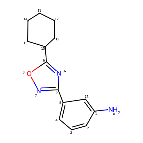 Nc1cccc(-c2noc(C3CCCCC3)n2)c1